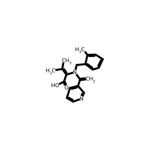 C=C(c1cccnc1)N(Cc1ccccc1C)C(C(=O)O)=C(C)C